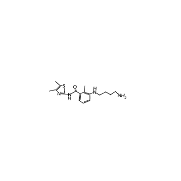 Cc1nc(NC(=O)c2cccc(NCCCCN)c2C)sc1C